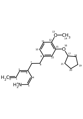 C=C/C=C(\C=C/N)CCc1ccc(OC)c(OC2CCCC2)c1